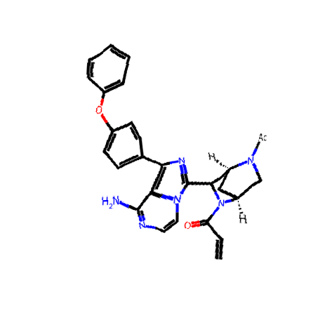 C=CC(=O)N1C(c2nc(-c3ccc(Oc4ccccc4)cc3)c3c(N)nccn23)[C@@H]2C[C@H]1CN2C(C)=O